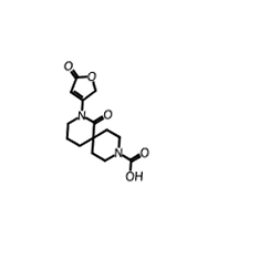 O=C1C=C(N2CCCC3(CCN(C(=O)O)CC3)C2=O)CO1